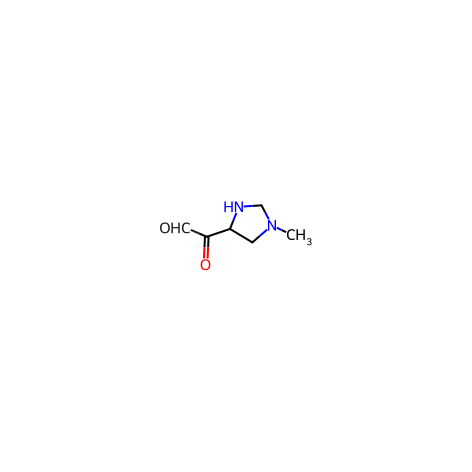 CN1CNC(C(=O)C=O)C1